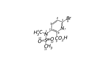 CN(c1ccc(Br)nc1C(=O)O)S(C)(=O)=O